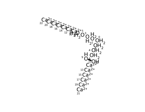 O.O.O.O.O.O.O.O.OO.[Ca+2].[Ca+2].[Ca+2].[Ca+2].[Ca+2].[Ca+2].[Ca+2].[Ca+2].[Ca+2].[Ca+2].[Ca+2].[Ca+2].[Ca+2]